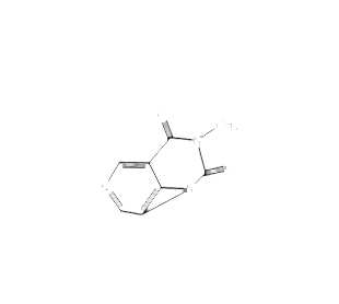 Cn1c(=O)c2cncc3c2n-3c1=O